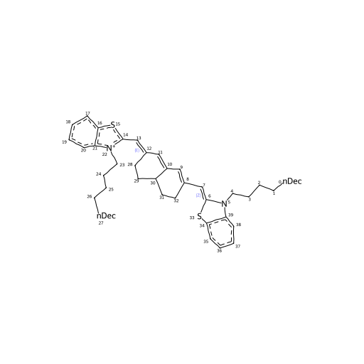 CCCCCCCCCCCCCCN1/C(=C/C2=CC3=C/C(=C/c4sc5ccccc5[n+]4CCCCCCCCCCCCCC)CCC3CC2)Sc2ccccc21